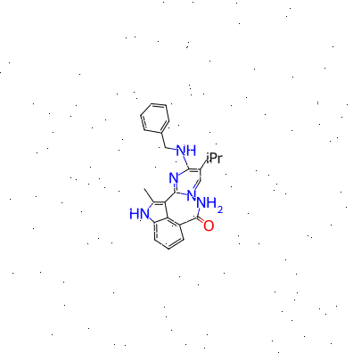 Cc1[nH]c2cccc(C(N)=O)c2c1-c1ncc(C(C)C)c(NCc2ccccc2)n1